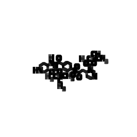 CC(C)(C)OC(=O)N(NC1CCNCC1)C(=O)c1ccc(S(=O)(=O)C(=O)CC2C=CN=CN2C(=O)OC(C)(C)C)cc1